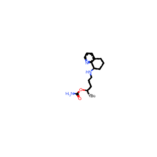 CC(C)(C)C(CCCNC1CCCc2cccnc21)OC(N)=O